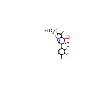 CCOC(=O)c1nn2cc(-c3ccc(C)c(F)c3F)[nH]c(=O)c2c1C